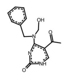 CC(=O)c1c[nH]c(=O)nc1N(CO)Cc1ccccc1